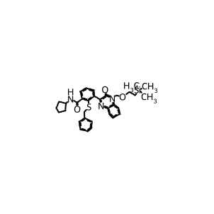 C[Si](C)(C)CCOCn1c(=O)c(-c2cccc(C(=O)NC3CCCC3)c2SCc2ccccc2)nc2ccccc21